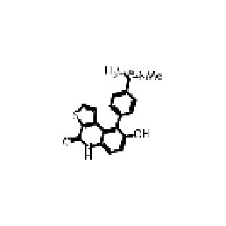 CN[C@H](C)c1ccc(-c2c(O)ccc3[nH]c(=O)c4sccc4c23)cc1